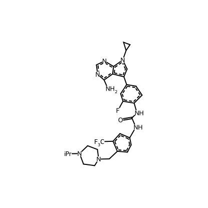 CC(C)N1CCN(Cc2ccc(NC(=O)Nc3ccc(-c4cn(C5CC5)c5ncnc(N)c45)cc3F)cc2C(F)(F)F)CC1